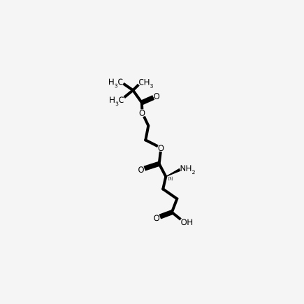 CC(C)(C)C(=O)OCCOC(=O)[C@@H](N)CCC(=O)O